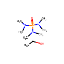 CCO.CN(C)P(=O)(N(C)C)N(C)C